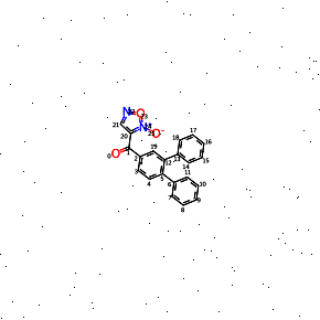 O=C(c1ccc(-c2ccccc2)c(-c2ccccc2)c1)c1cno[n+]1[O-]